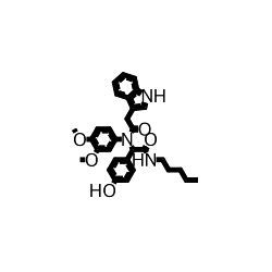 CCCCCNC(=O)C(c1ccc(O)cc1)N(C(=O)Cc1c[nH]c2ccccc12)c1ccc(OC)c(OC)c1